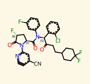 N#Cc1c#cnc(N2C(=O)[C@H](F)C[C@H]2C(=O)N(c2cccc(F)c2)[C@H](C(=O)CCC2CCC(F)(F)CC2)c2ccccc2Cl)c1